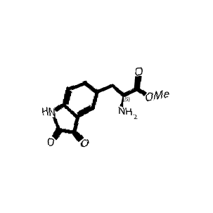 COC(=O)[C@@H](N)CC1C=C2C(=O)C(=O)NC2=CC1